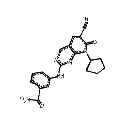 N#Cc1cc2cnc(Nc3cccc(C(N)=O)c3)nc2n(C2CCCC2)c1=O